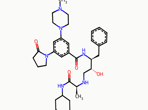 C[C@H](NC[C@@H](O)[C@H](Cc1ccccc1)NC(=O)c1cc(N2CCN(C)CC2)cc(N2CCCC2=O)c1)C(=O)NC1CCCCC1